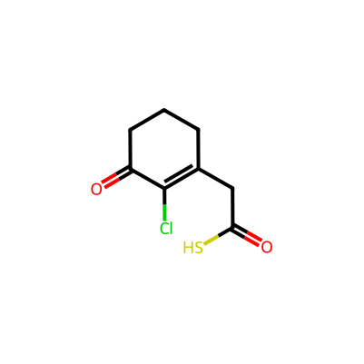 O=C(S)CC1=C(Cl)C(=O)CCC1